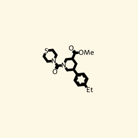 CCc1ccc(C2CC(C(=O)OC)CN(C(=O)N3CCSCC3)C2)cc1